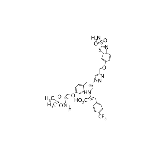 CC1(C)O[C@@H](CF)[C@H](COc2ccc(C[C@@H](CN[C@@H](Cc3ccc(C(F)(F)F)cc3)C(=O)O)n3cc(COc4ccc5nc(S(N)(=O)=O)sc5c4)nn3)cc2)O1